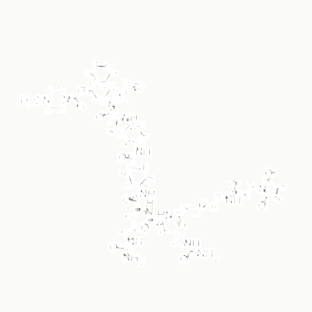 CN1CCN(C(=O)Oc2cc3c(c4ccccc24)[C@H](CBr)CN3C(=O)c2cc3cc(NC(=O)c4ccc(NC(=O)[C@H](CCCNC(N)=O)NC(=O)[C@H](CCCNC(N)=O)NC(=O)CCOCCNC(=O)CCN5C(=O)C=CC5=O)cc4)ccc3[nH]2)CC1